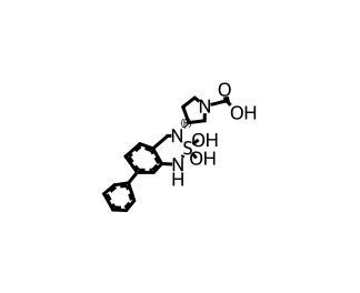 O=C(O)N1CC[C@@H](N2Cc3ccc(-c4ccccc4)cc3NS2(O)O)C1